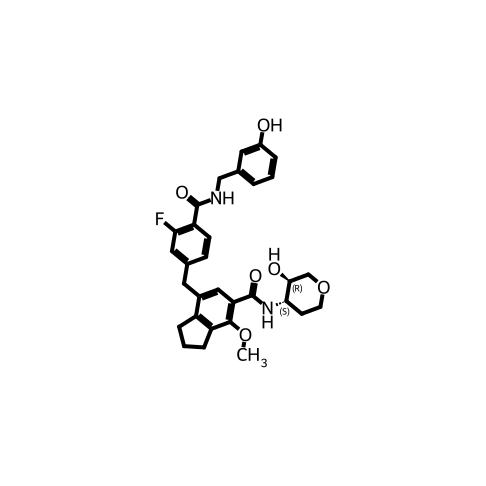 COc1c(C(=O)N[C@H]2CCOC[C@@H]2O)cc(Cc2ccc(C(=O)NCc3cccc(O)c3)c(F)c2)c2c1CCC2